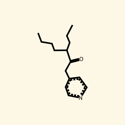 CCCCC(CCC)C(=O)Cc1ccncc1